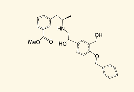 COC(=O)c1cccc(C[C@@H](C)NC[C@@H](O)c2ccc(OCc3ccccc3)c(CO)c2)c1